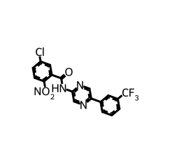 O=C(Nc1cnc(-c2cccc(C(F)(F)F)c2)cn1)c1cc(Cl)ccc1[N+](=O)[O-]